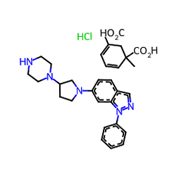 CC1(C(=O)O)C=CC=C(C(=O)O)C1.Cl.c1ccc(-n2ncc3ccc(N4CCC(N5CCNCC5)C4)cc32)cc1